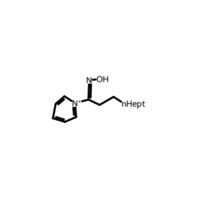 CCCCCCCCCC(=NO)[n+]1ccccc1